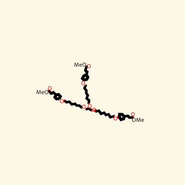 COC(=O)/C=C/c1ccc(OCCCCCCCCOCC(COCCCCCCCCOc2ccc(/C=C/C(=O)OC)cc2)OCCCCCCCCOc2ccc(/C=C/C(=O)OC)cc2)cc1